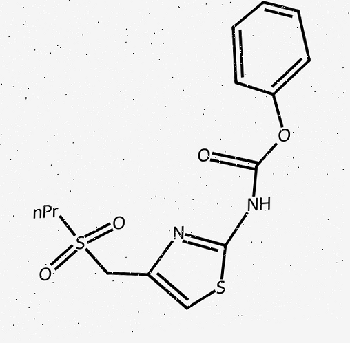 CCCS(=O)(=O)Cc1csc(NC(=O)Oc2ccccc2)n1